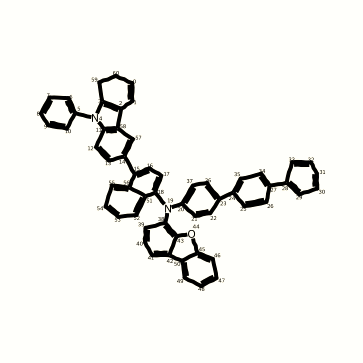 C1=Cc2c(n(-c3ccccc3)c3ccc(-c4ccc(N(c5ccc(-c6ccc(-c7ccccc7)cc6)cc5)c5cccc6c5oc5ccccc56)c5ccccc45)cc23)CC1